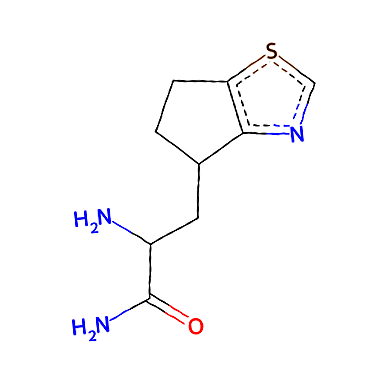 NC(=O)C(N)CC1CCc2scnc21